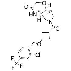 O=C1CO[C@H]2CCN(C(=O)[C@H]3C[C@H](OCc4ccc(C(F)(F)F)cc4Cl)C3)C[C@H]2N1